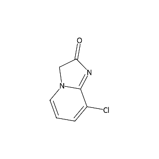 O=C1CN2C=CC=C(Cl)C2=N1